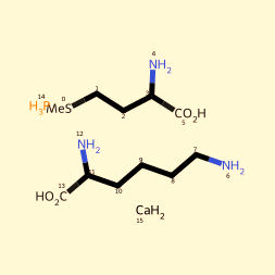 CSCCC(N)C(=O)O.NCCCCC(N)C(=O)O.P.[CaH2]